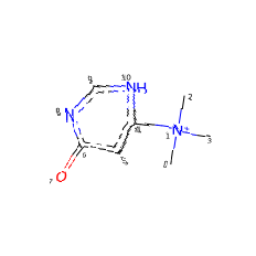 C[N+](C)(C)c1cc(=O)nc[nH]1